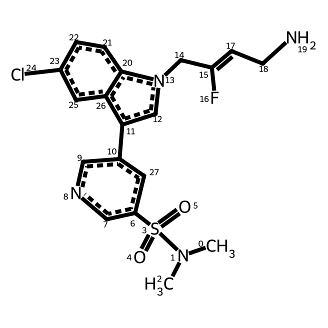 CN(C)S(=O)(=O)c1cncc(-c2cn(C/C(F)=C/CN)c3ccc(Cl)cc23)c1